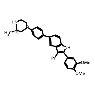 COc1ccc(-c2[nH]c3ccc(-c4ccc(N5CCN[C@H](C)C5)cc4)cc3c2C(C)C)cc1OC